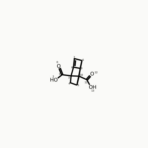 O=C(O)C12CC3C4C=C1C4C32C(=O)O